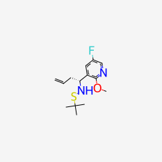 C=CC[C@@H](NSC(C)(C)C)c1cc(F)cnc1OC